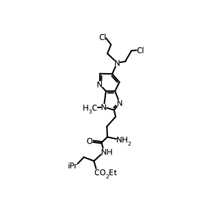 CCOC(=O)C(CC(C)C)NC(=O)C(N)CCc1nc2cc(N(CCCl)CCCl)cnc2n1C